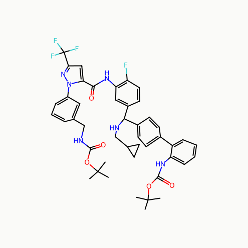 CC(C)(C)OC(=O)NCc1cccc(-n2nc(C(F)(F)F)cc2C(=O)Nc2cc(C(NCC3CC3)c3ccc(-c4ccccc4NC(=O)OC(C)(C)C)cc3)ccc2F)c1